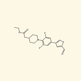 CCOC(=O)CC1CCN(c2c(F)cc(-c3csc(C=O)c3)cc2F)CC1